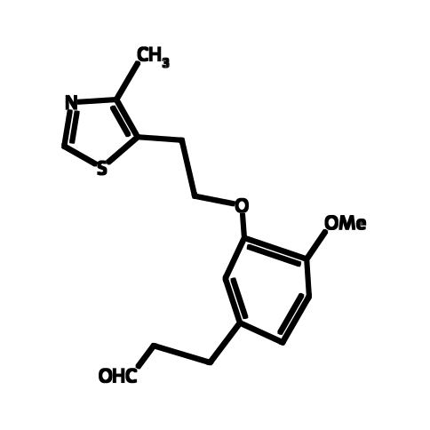 COc1ccc(CCC=O)cc1OCCc1scnc1C